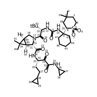 CC1(C)CCS(=O)(=O)[C@H](C2(NC(=O)N[C@H](C(=O)N3C[C@H]4[C@@H]([C@H]3C(=O)N[C@@H](CCC3CC3)C(=O)C(=O)NC3CC3)C4(C)C)C(C)(C)C)CCCCC2)C1